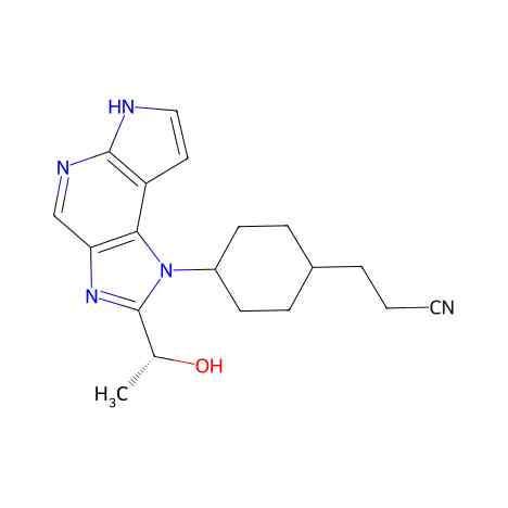 C[C@@H](O)c1nc2cnc3[nH]ccc3c2n1C1CCC(CCC#N)CC1